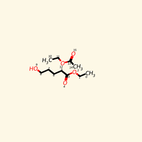 CCOC(=O)CCCCO.CCOC(C)=O